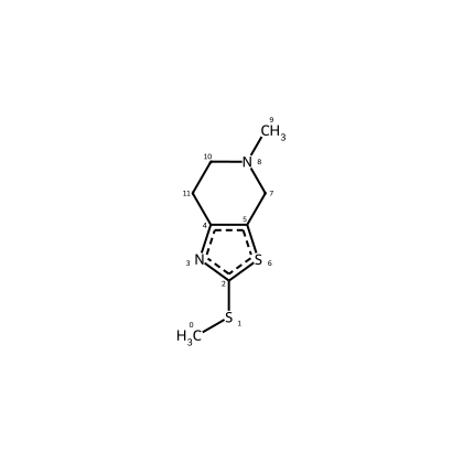 CSc1nc2c(s1)CN(C)CC2